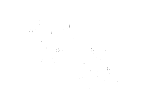 CCOC(=O)c1cc2c3ccccc3n(CCCCCn3c4ccccc4c4cc(CC)nc(-c5cccnc5)c43)c2c(-c2cccnc2)n1